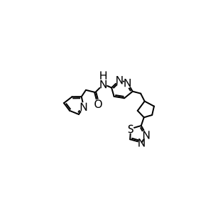 O=C(Cc1ccccn1)Nc1ccc(CC2CCC(c3nncs3)C2)nn1